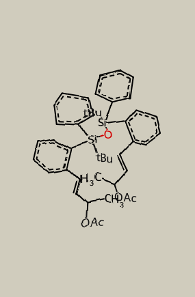 CC(=O)OC(C)C=Cc1ccccc1[Si](O[Si](c1ccccc1)(c1ccccc1C=CC(C)OC(C)=O)C(C)(C)C)(c1ccccc1)C(C)(C)C